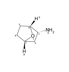 N[C@@H]1C[C@@H]2CC[C@H]1O2